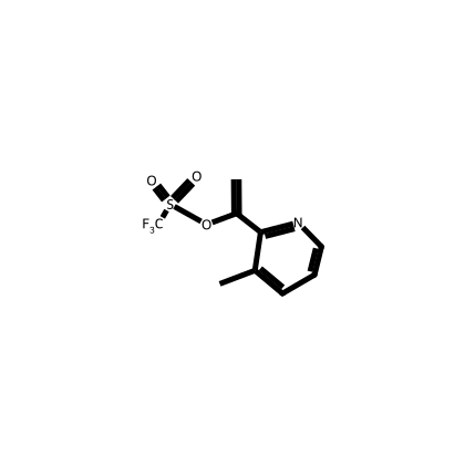 C=C(OS(=O)(=O)C(F)(F)F)c1ncccc1C